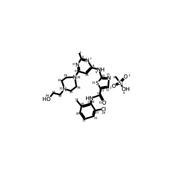 CS(=O)(=O)O.Cc1nc(Nc2ncc(C(=O)Nc3c(C)cccc3Cl)s2)cc(N2CCN(CCO)CC2)n1